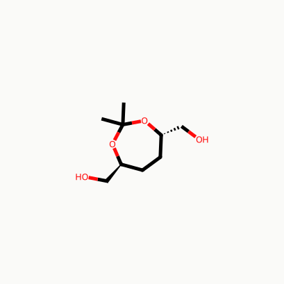 CC1(C)O[C@H](CO)CC[C@@H](CO)O1